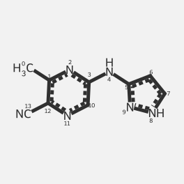 Cc1nc(Nc2cc[nH]n2)cnc1C#N